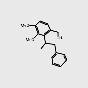 COc1ccc(CO)c(C(C)Cc2ccccc2)c1OC